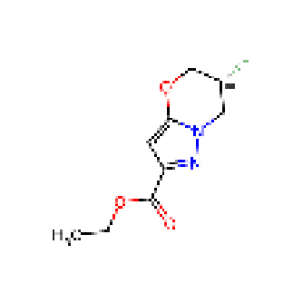 CCOC(=O)c1cc2n(n1)C[C@@H](F)CO2